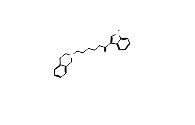 Cn1cc(C(=O)CCCCCN2CCc3ccccc3C2)c2ccccc21